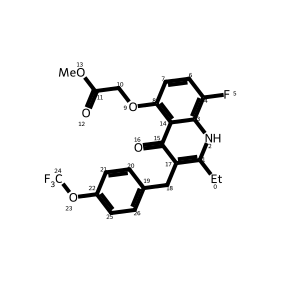 CCc1[nH]c2c(F)ccc(OCC(=O)OC)c2c(=O)c1Cc1ccc(OC(F)(F)F)cc1